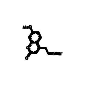 COc1ccc2c(CC=[N+]=[N-])cc(=O)oc2c1